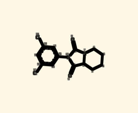 O=C1C2CCCCN2C(=O)N1c1cc(Cl)cc(Cl)c1